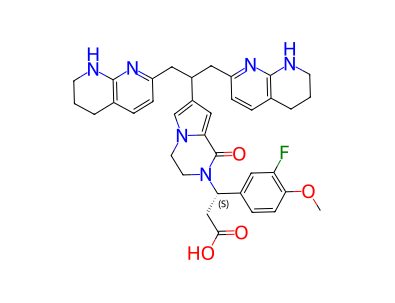 COc1ccc([C@H](CC(=O)O)N2CCn3cc(C(Cc4ccc5c(n4)NCCC5)Cc4ccc5c(n4)NCCC5)cc3C2=O)cc1F